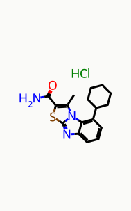 Cc1c(C(N)=O)sc2nc3cccc(C4CCCCC4)c3n12.Cl